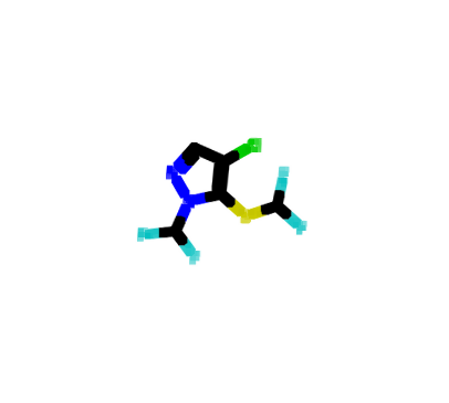 FC(F)Sc1c(Cl)[c]nn1C(F)F